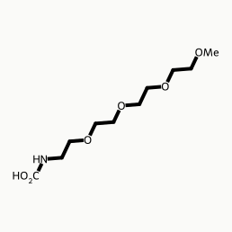 COCCOCCOCCOCCNC(=O)O